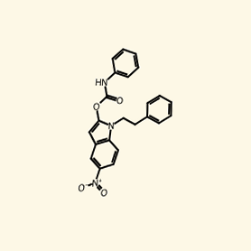 O=C(Nc1ccccc1)Oc1cc2cc([N+](=O)[O-])ccc2n1CCc1ccccc1